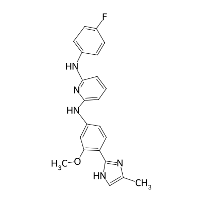 COc1cc(Nc2cccc(Nc3ccc(F)cc3)n2)ccc1-c1nc(C)c[nH]1